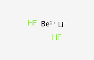 F.F.[Be+2].[Li+]